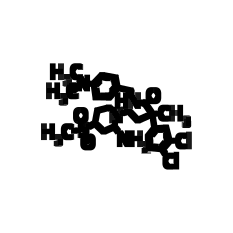 CN(C)c1ccc(CNC(=O)C(C)(CCN2CCC(S(C)(=O)=O)CC2N)c2ccc(Cl)c(Cl)c2)cc1